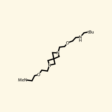 CNCCOCCN1CC2(C1)CN(CCOCCNCC(C)(C)C)C2